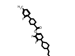 CCCC1CCC(C2CC=C(OC(=O)C3CCC(c4ccc(C)cc4F)CC3)C(F)=C2F)CC1